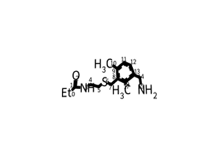 CCC(=O)NCCSCc1c(C)ccc(CN)c1C